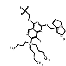 CCC[CH2][Sn]([CH2]CCC)([CH2]CCC)[c]1ncc2c(OCC(F)(F)F)nc(OC[C@@]34CCCN3C[C@H](F)C4)nc2c1F